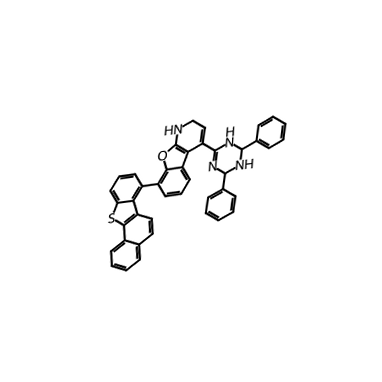 C1=C(C2=NC(c3ccccc3)NC(c3ccccc3)N2)c2c(oc3c(-c4cccc5sc6c7ccccc7ccc6c45)cccc23)NC1